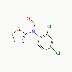 O=CN(C1=NCCS1)c1ccc(Cl)cc1Cl